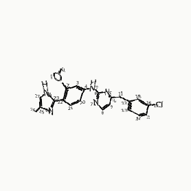 COc1cc(Nc2nccc(Cc3cccc(Cl)c3)n2)ccc1-c1nc(C)c[nH]1